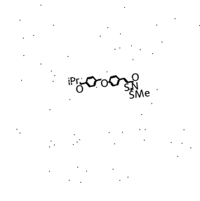 CSC1=NC(=O)C(=Cc2ccc(OCc3ccc(C(=O)C(C)C)cc3)cc2)S1